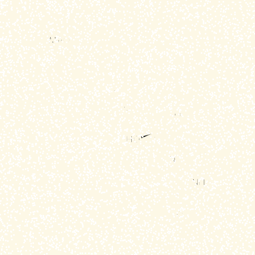 COc1ccc(C(OC[C@@H]2OC[C@H](n3cc(C)c(=O)[nH]c3=O)[C@H]2O)(c2ccccc2)c2ccccc2)cc1